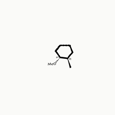 CO[C@@H]1CCCC[C@H]1C